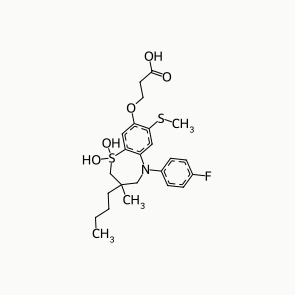 CCCCC1(C)CN(c2ccc(F)cc2)c2cc(SC)c(OCCC(=O)O)cc2S(O)(O)C1